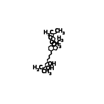 C=C(C)[C@@H](O)C[C@H](O)C/C=C/C=C1\CCC[C@@]2(C)C1CC[C@@H]2[C@H](C)C(=O)CC(=O)C(C)CC